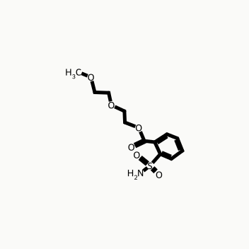 COCCOCCOC(=O)c1ccccc1S(N)(=O)=O